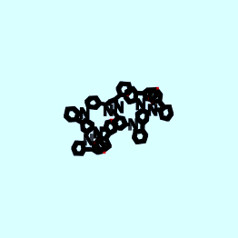 c1ccc(-c2cc(-c3cccc(-n4c5ccccc5c5cc(-n6c7ccccc7c7ccccc76)c(-n6c7ccccc7c7ccccc76)cc54)c3)nc(-c3cccc(-n4c5ccccc5c5cc(-n6c7ccccc7c7ccccc76)c(-n6c7ccccc7c7ccccc76)cc54)c3)n2)cc1